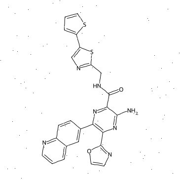 Nc1nc(-c2ncco2)c(-c2ccc3ncccc3c2)nc1C(=O)NCc1ncc(-c2cccs2)s1